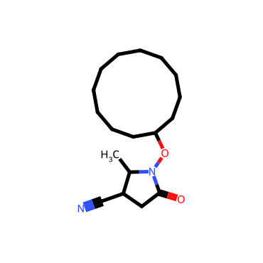 CC1C(C#N)CC(=O)N1OC1CCCCCCCCCCC1